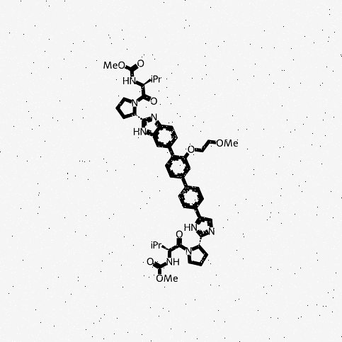 COCCOc1cc(-c2ccc(-c3cnc([C@@H]4CCCN4C(=O)[C@@H](NC(=O)OC)C(C)C)[nH]3)cc2)ccc1-c1ccc2nc([C@@H]3CCCN3C(=O)[C@@H](NC(=O)OC)C(C)C)[nH]c2c1